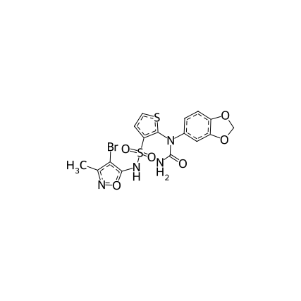 Cc1noc(NS(=O)(=O)c2ccsc2N(C(N)=O)c2ccc3c(c2)OCO3)c1Br